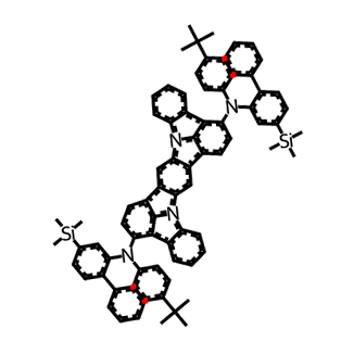 CC(C)(C)c1ccc(N(c2cc([Si](C)(C)C)ccc2-c2ccccc2)c2ccc3c4cc5c(cc4n4c6ccccc6c2c34)c2ccc(N(c3ccc(C(C)(C)C)cc3)c3cc([Si](C)(C)C)ccc3-c3ccccc3)c3c4ccccc4n5c23)cc1